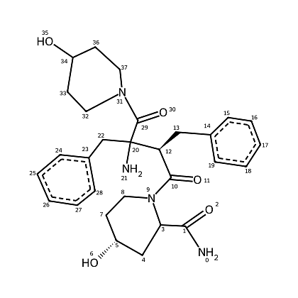 NC(=O)C1C[C@H](O)CCN1C(=O)[C@H](Cc1ccccc1)C(N)(Cc1ccccc1)C(=O)N1CCC(O)CC1